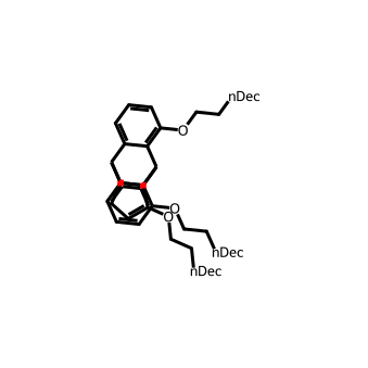 CCCCCCCCCCCCOC1=CCC2=C1C1c3c(OCCCCCCCCCCCC)cccc3C2c2cccc(OCCCCCCCCCCCC)c21